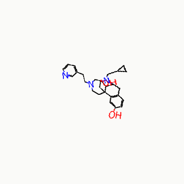 Oc1ccc2c(c1)C13CCN(CCc4cccnc4)CCC1(O)C(C2)N(CC1CC1)CC3